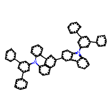 c1ccc(-c2cc(-c3ccccc3)cc(N(c3ccccc3)c3ccccc3-c3cccc(-c4ccc5c(c4)c4ccccc4n5-c4cc(-c5ccccc5)cc(-c5ccccc5)c4)c3)c2)cc1